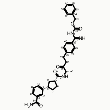 C[C@H](NC(=O)[C@@H]1CC[C@H](c2cccc(C(N)=O)c2)C1)C(=O)CCc1ccc(C(=N)NC(=O)OCc2ccccc2)cc1